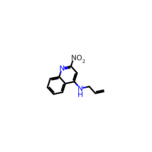 C=CCNc1cc([N+](=O)[O-])nc2ccccc12